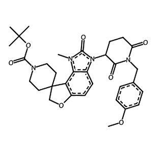 COc1ccc(CN2C(=O)CCC(n3c(=O)n(C)c4c5c(ccc43)OCC53CCN(C(=O)OC(C)(C)C)CC3)C2=O)cc1